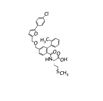 CSCC[C@H](NC(=O)c1ccc(COCc2ccc(-c3ccc(Cl)cc3)o2)cc1-c1ccccc1C)C(=O)O